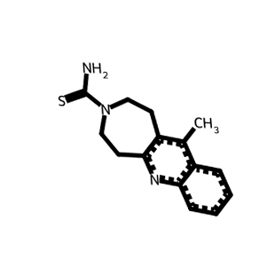 Cc1c2c(nc3ccccc13)CCN(C(N)=S)CC2